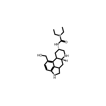 CCN(CC)C(=O)N[C@@H]1CN[C@@H]2CC3CNc4ccc(CO)c(c43)C2C1